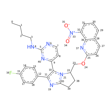 CCCCNc1nccc(-c2c(-c3ccc(F)cc3)nc3n2C(COc2ccc4cccc([N+](=O)[O-])c4n2)CC3)n1